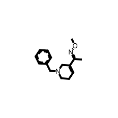 CON=C(C)C1=CCCN(Cc2ccccc2)C1